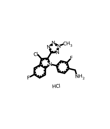 Cl.Cn1nnc(-c2c(Cl)c3cc(F)ccc3n2-c2ccc(CN)c(F)c2)n1